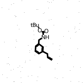 C=CCc1cccc(CNC(=O)OC(C)(C)C)c1